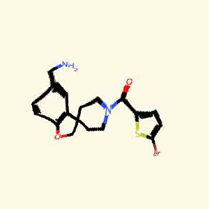 NCc1ccc2c(c1)C1(CCN(C(=O)c3ccc(Br)s3)CC1)CO2